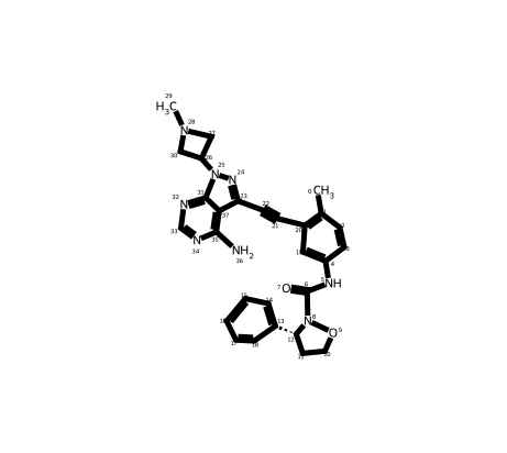 Cc1ccc(NC(=O)N2OCC[C@@H]2c2ccccc2)cc1C#Cc1nn(C2CN(C)C2)c2ncnc(N)c12